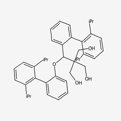 CC(C)c1cccc(C(C)C)c1-c1ccccc1OC(c1ccccc1-c1c(C(C)C)cccc1C(C)C)C(CO)(CO)CO